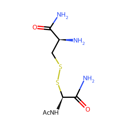 CC(=O)N[C@@H](SSC[C@H](N)C(N)=O)C(N)=O